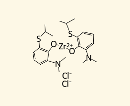 CC(C)Sc1cccc(N(C)C)c1[O][Zr+2][O]c1c(SC(C)C)cccc1N(C)C.[Cl-].[Cl-]